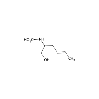 CC=CCC(CO)NC(=O)O